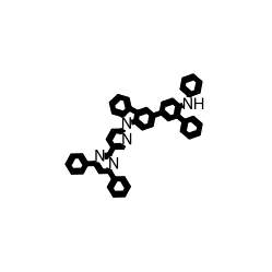 c1ccc(Nc2ccc(-c3ccc4c(c3)c3ccccc3n4-c3ccc(-c4nc(-c5ccccc5)cc(-c5ccccc5)n4)cn3)cc2-c2ccccc2)cc1